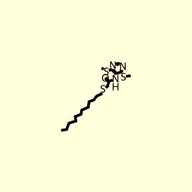 CCCCCCCCCCCCSCC(=O)Nc1c(SC)ncnc1SC